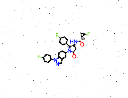 O=C(N[C@@H]1CC(=O)N(c2ccc3c(cnn3-c3ccc(F)cc3)c2)[C@H]1c1ccc(F)cc1)[C@@H]1C[C@@H]1F